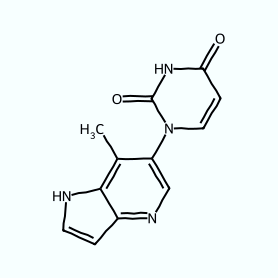 Cc1c(-n2ccc(=O)[nH]c2=O)cnc2cc[nH]c12